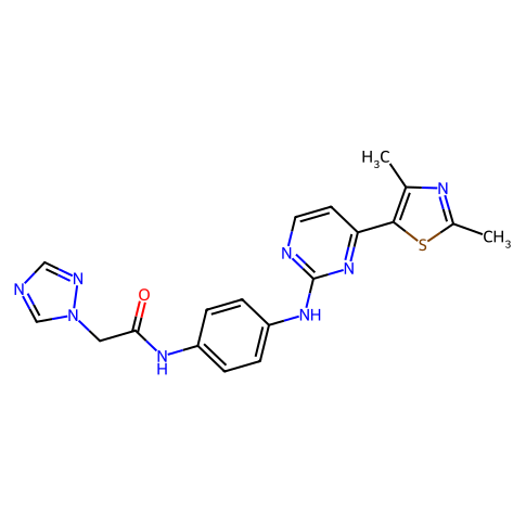 Cc1nc(C)c(-c2ccnc(Nc3ccc(NC(=O)Cn4cncn4)cc3)n2)s1